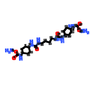 NOC(=O)NC1CCC(NC(=O)NCCCCNC(=O)NC2CCC(NC(=O)ON)CC2)CC1